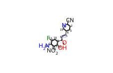 N#Cc1ccc(/C=C/C(=O)c2cc(F)c(N)c([N+](=O)[O-])c2O)cn1